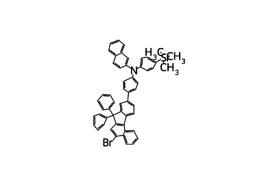 C[Si](C)(C)c1ccc(N(c2ccc(-c3ccc4c(c3)C(c3ccccc3)(c3ccccc3)c3cc(Br)c5ccccc5c3-4)cc2)c2ccc3ccccc3c2)cc1